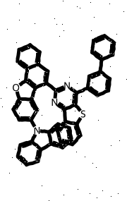 c1ccc(-c2cccc(-c3nc(-c4cc5ccccc5c5oc6ccc(-n7c8ccccc8c8ccccc87)cc6c45)nc4c3sc3ccccc34)c2)cc1